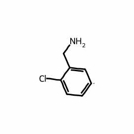 NCc1c[c]ccc1Cl